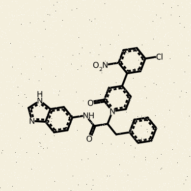 O=C(Nc1ccc2nc[nH]c2c1)C(Cc1ccccc1)n1ccc(-c2cc(Cl)ccc2[N+](=O)[O-])cc1=O